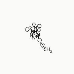 CN1CCN([C@H]2CC[C@@H](n3nc(COc4ccccc4NC(=O)c4cc5ccccc5s4)c4c(N)ncnc43)CC2)CC1